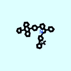 C[Si]1(C)c2ccccc2-c2ccc(-c3cc(-c4ccccc4)c4cccc(-c5ccc(-c6c7ccccc7c(-c7ccccc7)c7ccccc67)cc5)c4n3)cc21